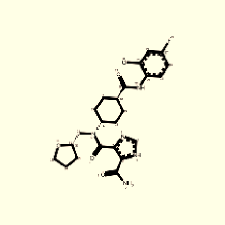 NC(=O)c1[nH]cnc1C(=O)N(C[C@@H]1CCCO1)[C@H]1CC[C@H](C(=O)Nc2ccc(F)cc2Cl)CC1